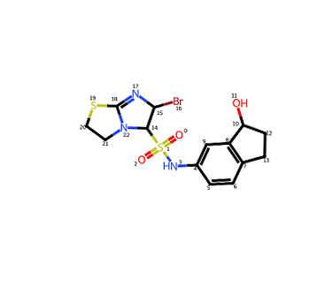 O=S(=O)(Nc1ccc2c(c1)C(O)CC2)C1C(Br)N=C2SCCN21